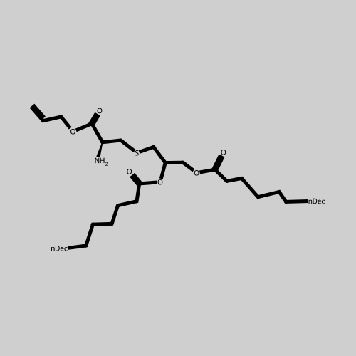 C=CCOC(=O)[C@H](N)CSCC(COC(=O)CCCCCCCCCCCCCCC)OC(=O)CCCCCCCCCCCCCCC